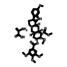 C=C(N)C(=O)O.COC(=O)[C@H]1[C@H]2C[C@@H]3c4[nH]c5cc(OC)ccc5c4CCN3C[C@H]2C[C@@H](OC(=O)c2cc(OC)c(OC)c(OC)c2)[C@@H]1OC